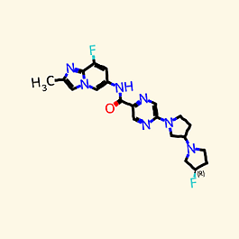 Cc1cn2cc(NC(=O)c3cnc(N4CCC(N5CC[C@@H](F)C5)C4)cn3)cc(F)c2n1